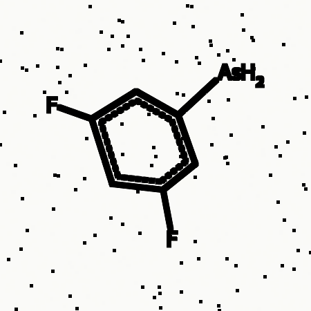 Fc1cc(F)cc([AsH2])c1